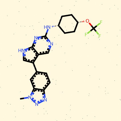 Cn1nnc2ccc(-c3c[nH]c4nc(N[C@H]5CC[C@@H](OC(F)(F)F)CC5)ncc34)cc21